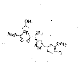 CNC(=O)[C@H]1CC(O)CN1C(=O)C(n1cc(-c2ccc(Cl)c(OC)c2)nn1)C(C)(C)C